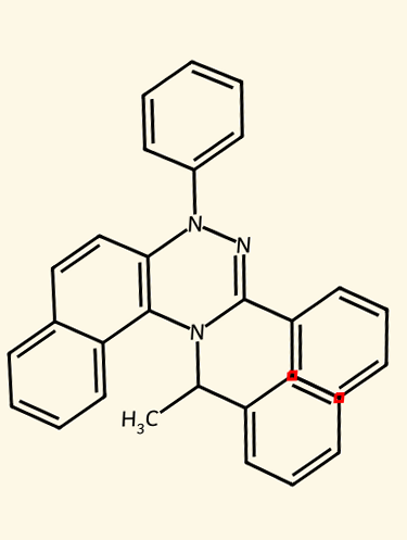 CC(c1ccccc1)N1C(c2ccccc2)=NN(c2ccccc2)c2ccc3ccccc3c21